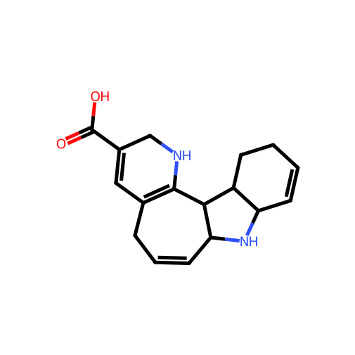 O=C(O)C1=CC2=C(NC1)C1C(C=CC2)NC2C=CCCC21